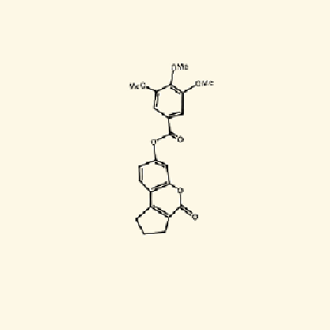 COc1cc(C(=O)Oc2ccc3c4c(c(=O)oc3c2)CCC4)cc(OC)c1OC